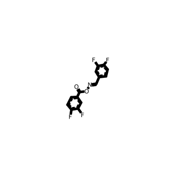 O=C(ON=Cc1ccc(F)c(F)c1)c1ccc(F)c(F)c1